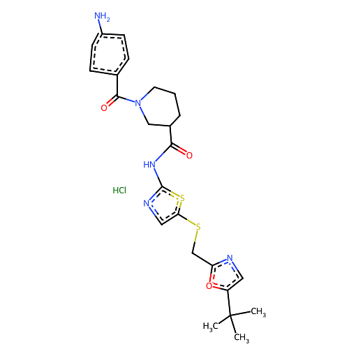 CC(C)(C)c1cnc(CSc2cnc(NC(=O)C3CCCN(C(=O)c4ccc(N)cc4)C3)s2)o1.Cl